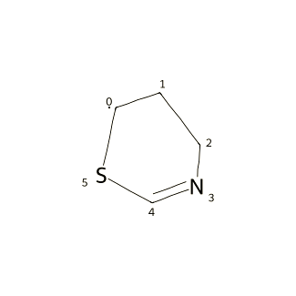 [CH]1CCN=CS1